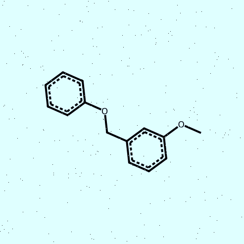 COc1cccc(COc2cc[c]cc2)c1